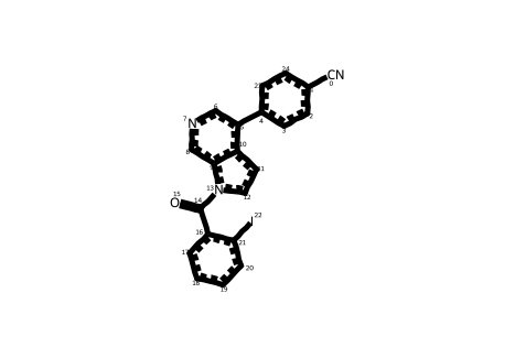 N#Cc1ccc(-c2cncc3c2ccn3C(=O)c2ccccc2I)cc1